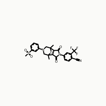 CC12CN(c3cccc(S(C)(=O)=O)c3)CC(C)(O1)C1C(=O)N(c3ccc(C#N)c(C(F)(F)F)c3)C(=O)C12